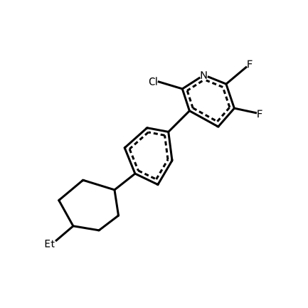 CCC1CCC(c2ccc(-c3cc(F)c(F)nc3Cl)cc2)CC1